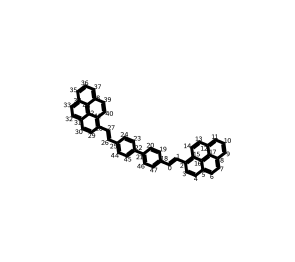 C(=Cc1ccc2ccc3cccc4ccc1c2c34)c1ccc(-c2ccc(C=Cc3ccc4ccc5cccc6ccc3c4c56)cc2)cc1